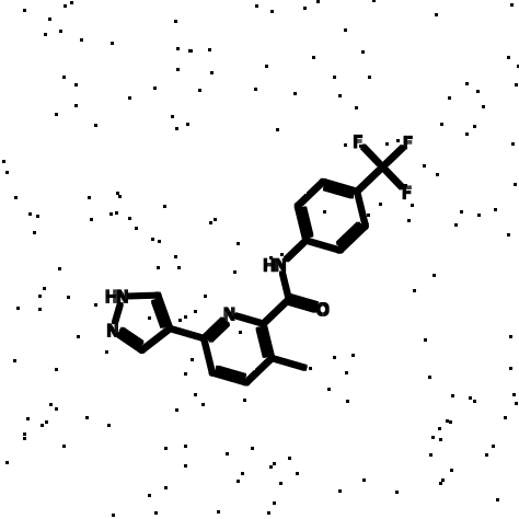 Cc1ccc(-c2cn[nH]c2)nc1C(=O)Nc1ccc(C(F)(F)F)cc1